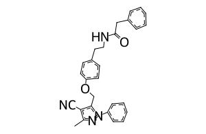 Cc1nn(-c2ccccc2)c(COc2ccc(CCNC(=O)Cc3ccccc3)cc2)c1C#N